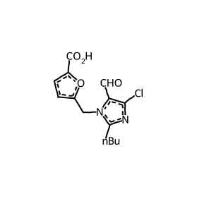 CCCCc1nc(Cl)c(C=O)n1Cc1ccc(C(=O)O)o1